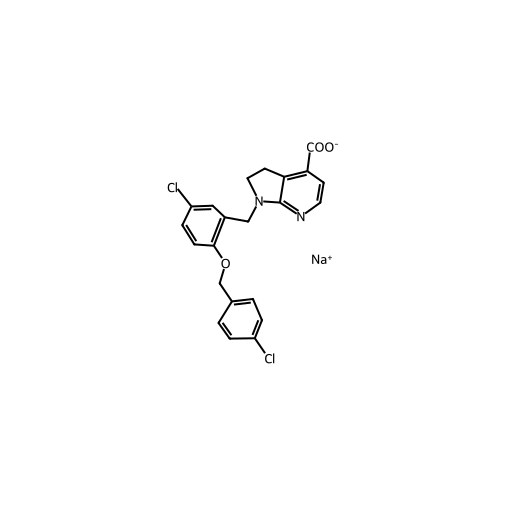 O=C([O-])c1ccnc2c1CCN2Cc1cc(Cl)ccc1OCc1ccc(Cl)cc1.[Na+]